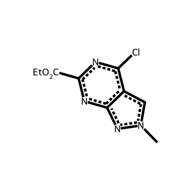 CCOC(=O)c1nc(Cl)c2cn(C)nc2n1